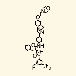 O=C(Cc1cc(CF)cc(C(F)(F)F)c1)N[C@H](Cc1ccccc1)C(=O)Nc1ccc(-c2cn3c(n2)sc2cc(OCCN4CCOCC4)ccc23)cc1